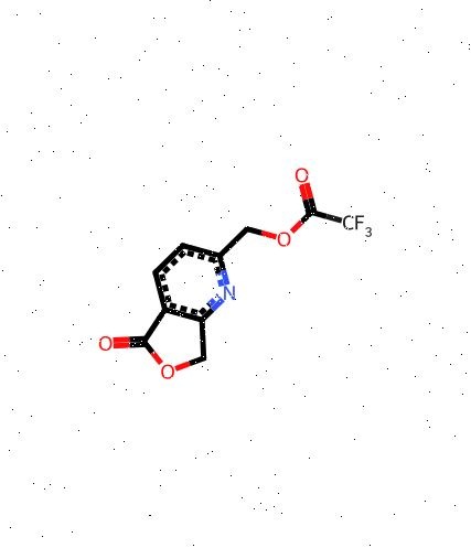 O=C1OCc2nc(COC(=O)C(F)(F)F)ccc21